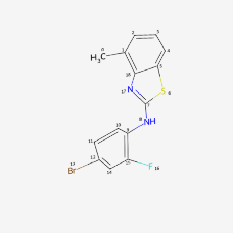 Cc1cccc2sc(Nc3ccc(Br)cc3F)nc12